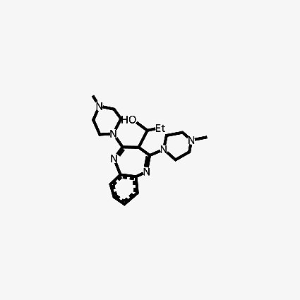 CCC(O)C1C(N2CCN(C)CC2)=Nc2ccccc2N=C1N1CCN(C)CC1